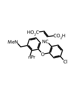 CCCc1c(CNC)cccc1Oc1cc(Cl)ccc1C#N.O=C(O)/C=C/C(=O)O